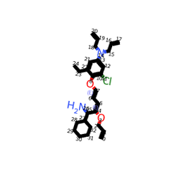 C=CCO/C(=C/C=C/Oc1c(Cl)cc(N(CC=C)CC=C)cc1CC)C(N)C1CCCCC1